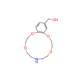 OCc1ccc2c(c1)OCCOCCNCCOCCO2